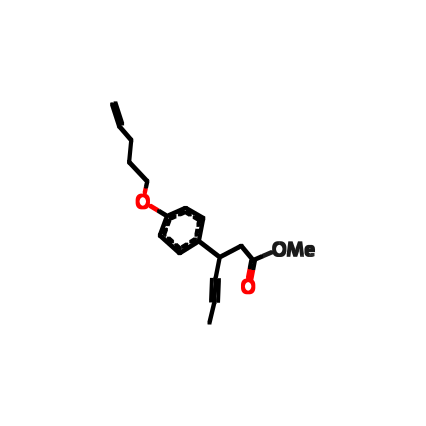 C=CCCCOc1ccc(C(C#CC)CC(=O)OC)cc1